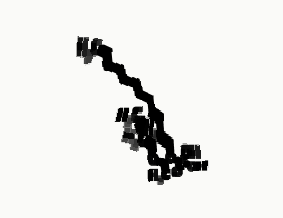 C=C.CCCCCCCCCCCCOP(=O)(O)O.CCOCC